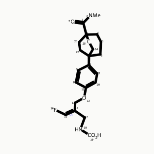 CNC(=O)C12CCCC(c3ccc(OC/C(=C\F)CNC(=O)O)cc3)(CC1)CC2